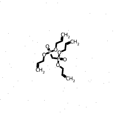 C=CCOP(=O)(CP(=O)(OCC=C)OCC=C)OCC=C